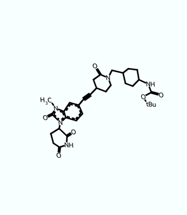 Cn1c(=O)n(C2CCC(=O)NC2=O)c2ccc(C#CC3CCN(CC4CCC(NC(=O)OC(C)(C)C)CC4)C(=O)C3)cc21